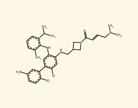 Cc1cccc(C(C)C)c1Nc1cc(-c2cc(N)ccc2Cl)c(Cl)cc1NCC1CN(C(=O)/C=C/CN(C)C)C1